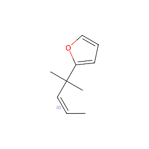 C/C=C\C(C)(C)c1ccco1